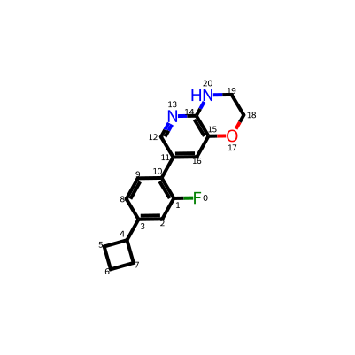 Fc1cc(C2CCC2)ccc1-c1cnc2c(c1)OCCN2